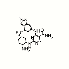 Cn1cc2c(C(F)(F)F)cc(Nc3nc(N[C@@H]4CCCC[C@@H]4N)nnc3C(N)=O)cc2n1